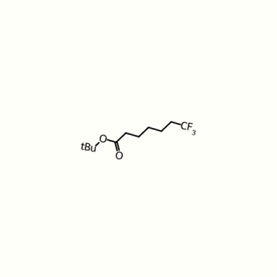 CC(C)(C)OC(=O)CCCCCC(F)(F)F